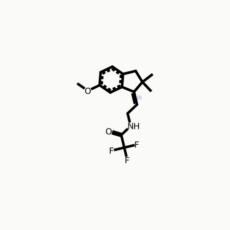 COc1ccc2c(c1)/C(=C\CNC(=O)C(F)(F)F)C(C)(C)C2